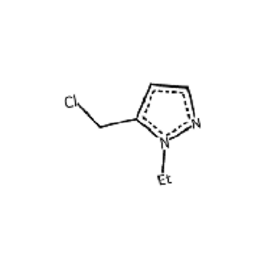 CCn1nccc1CCl